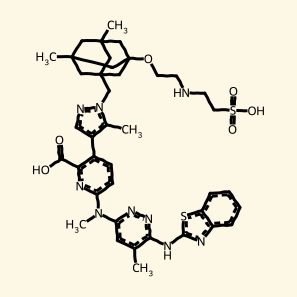 Cc1cc(N(C)c2ccc(-c3cnn(CC45CC6(C)CC(C)(C4)CC(OCCNCCS(=O)(=O)O)(C6)C5)c3C)c(C(=O)O)n2)nnc1Nc1nc2ccccc2s1